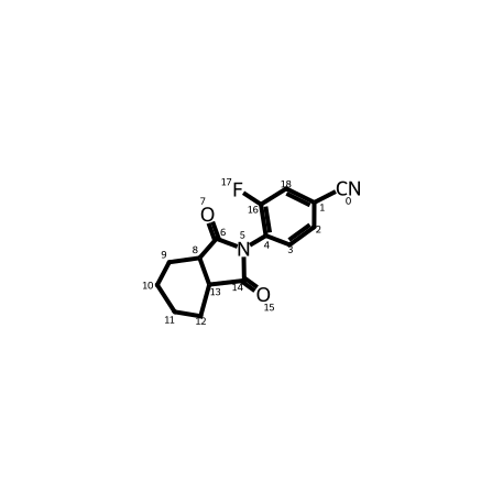 N#Cc1ccc(N2C(=O)C3CCCCC3C2=O)c(F)c1